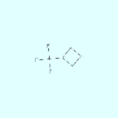 FC(F)(F)C1C[CH]C1